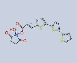 O=C(/C=C/c1ccc(-c2ccc(-c3cccs3)s2)s1)O[N+]1(O)C(=O)CCC1=O